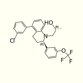 C[C@@H](O)CN1c2cccc(-c3cccc(Cl)c3)c2CC[C@@H]1c1cccc(OC(F)(F)F)c1